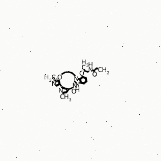 C=CC(=O)NC[C@H](C)Oc1cccc2c1N1CCCCCOc3c(cnn3C)-c3cc(cc(C)n3)C(=O)/N=C/1N2